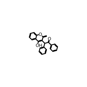 C=C1Oc2ccccc2C(O)=C1C(C(=O)c1ccccc1)c1ccccc1